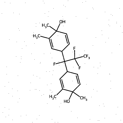 CC1=CC(C(F)(C2C=CC(C)(O)C(C)=C2)C(F)(F)C(F)(F)F)C=CC1(C)O